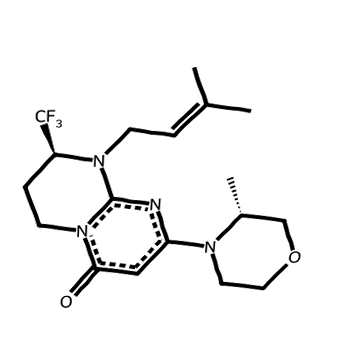 CC(C)=CCN1c2nc(N3CCOC[C@H]3C)cc(=O)n2CC[C@H]1C(F)(F)F